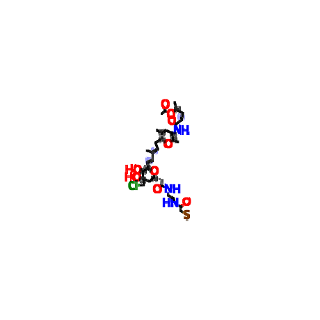 CSCC(=O)NCCNC(=O)C[C@@H]1C[C@@](O)(CCl)[C@H](O)[C@@H](/C=C/C(C)=C/C[C@@H]2O[C@H](C)[C@H](NC(=O)/C=C\[C@H](C)OC(C)=O)C[C@@H]2C)O1